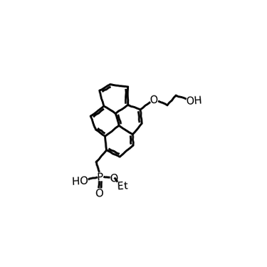 CCOP(=O)(O)Cc1ccc2cc(OCCO)c3cccc4ccc1c2c43